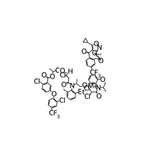 CC1COc2ccccc2N1C(=O)C(Cl)Cl.CCc1cccc(C)c1N(C(=O)CCl)C(C)COC.CS(=O)(=O)c1cc(C(F)(F)F)ccc1C(=O)c1cnoc1C1CC1.C[C@H](OC(=O)c1cc(Oc2ccc(C(F)(F)F)cc2Cl)ccc1Cl)C(=O)O